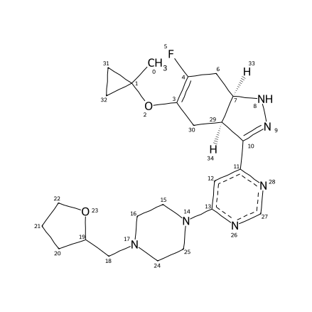 CC1(OC2=C(F)C[C@H]3NN=C(c4cc(N5CCN(CC6CCCO6)CC5)ncn4)[C@H]3C2)CC1